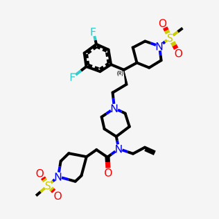 C=CCN(C(=O)CC1CCN(S(C)(=O)=O)CC1)C1CCN(CC[C@@H](c2cc(F)cc(F)c2)C2CCN(S(C)(=O)=O)CC2)CC1